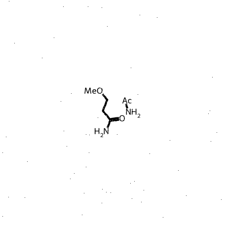 CC(N)=O.COCCC(N)=O